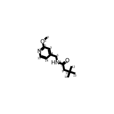 COc1cc(CNC(=O)CC(C)(C)C)ccn1